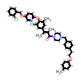 C/C(C(=O)N1CCN(Cc2ccc(CCOc3ccc(C)cc3)cc2)CC1)=C(/C)c1cc(C)c(Oc2ccc(OCc3ccccc3Cl)cn2)c(Cl)c1